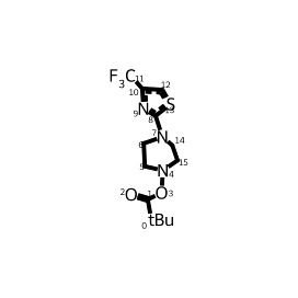 CC(C)(C)C(=O)ON1CCN(c2nc(C(F)(F)F)cs2)CC1